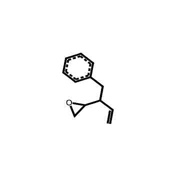 C=CC(Cc1ccccc1)C1CO1